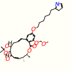 COCOc1cc(OCCCCCCC2=NC=CC2)cc2c1C(=O)O[C@@H](C)[C@H](C)/C=C\C(=O)[C@H]1OC(C)(C)O[C@H]1C/C=C/2